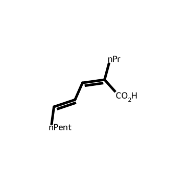 CCCCCC=CC=C(CCC)C(=O)O